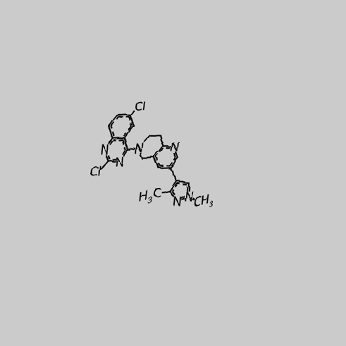 Cc1nn(C)cc1-c1cnc2c(c1)CN(c1nc(Cl)nc3ccc(Cl)cc13)CC2